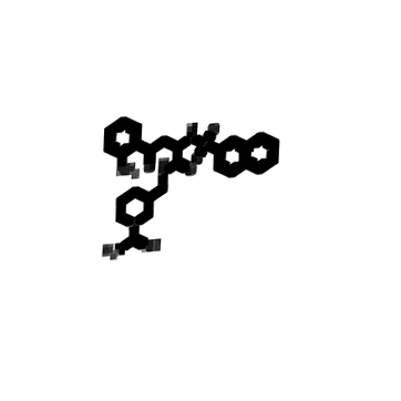 N=C(N)N1CCCC(CNC(=O)C(CC(=O)c2ccccc2N)NS(=O)(=O)c2ccc3ccccc3c2)C1